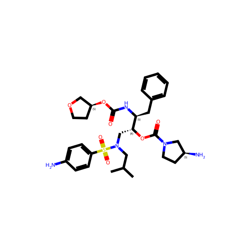 CC(C)CN(C[C@@H](OC(=O)N1CC[C@H](N)C1)[C@H](Cc1ccccc1)NC(=O)O[C@H]1CCOC1)S(=O)(=O)c1ccc(N)cc1